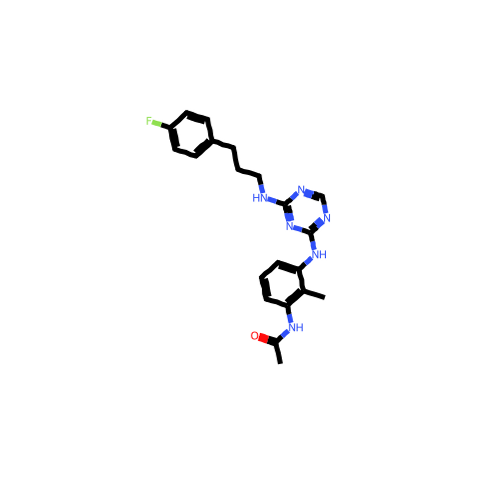 CC(=O)Nc1cccc(Nc2ncnc(NCCCc3ccc(F)cc3)n2)c1C